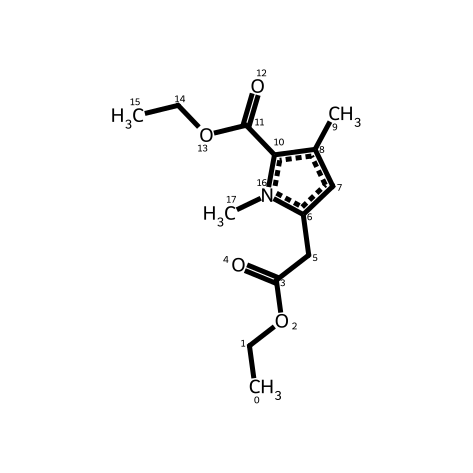 CCOC(=O)Cc1cc(C)c(C(=O)OCC)n1C